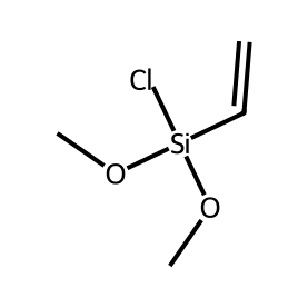 C=C[Si](Cl)(OC)OC